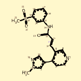 Cn1cc(-c2ccncc2/C=C/C(=O)Nc2cccc(S(C)(=O)=O)c2)cn1